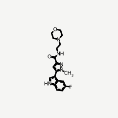 Cn1nc(C(=O)NCCN2CCOCC2)cc1-c1c[nH]c2ccc(F)cc12